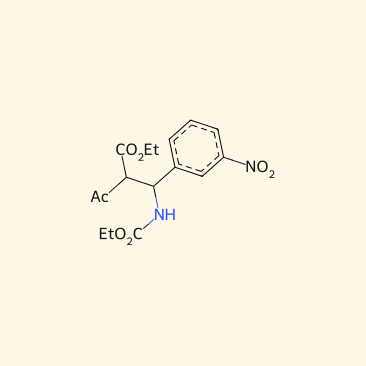 CCOC(=O)NC(c1cccc([N+](=O)[O-])c1)C(C(C)=O)C(=O)OCC